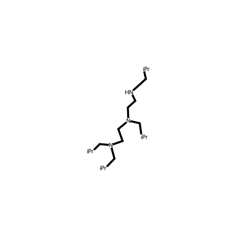 CC(C)CNCCN(CCN(CC(C)C)CC(C)C)CC(C)C